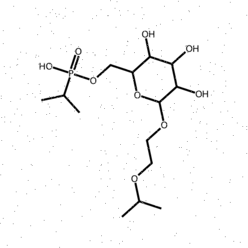 CC(C)OCCOC1OC(COP(=O)(O)C(C)C)C(O)C(O)C1O